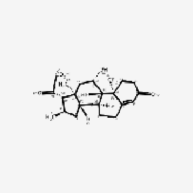 C[C@@H]1C[C@H]2[C@@H]3CCC4=CC(=O)CC[C@]4(C)[C@@]3(F)[C@@H](O)C[C@]2(C)[C@H]1C(=O)C(=O)O